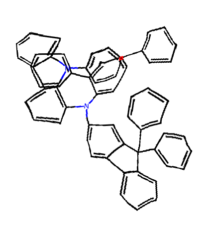 c1ccc(-c2ccc(-n3c4ccccc4c4cccc(N(c5ccc6c(c5)C(c5ccccc5)(c5ccccc5)c5ccccc5-6)c5ccccc5-c5ccccc5)c43)cc2)cc1